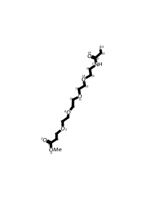 COC(=O)CCOCCOCCOCCOCCNC(=O)CI